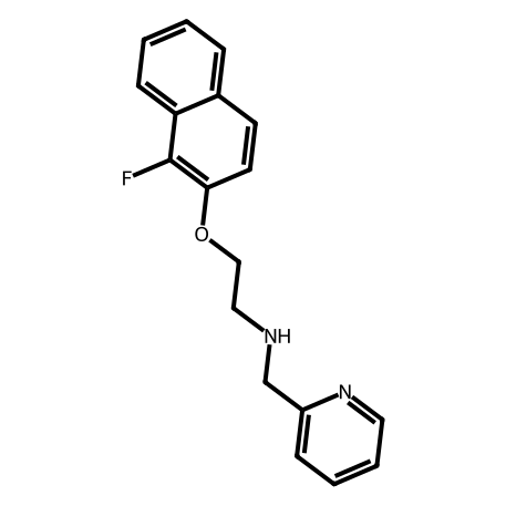 Fc1c(OCCNCc2ccccn2)ccc2ccccc12